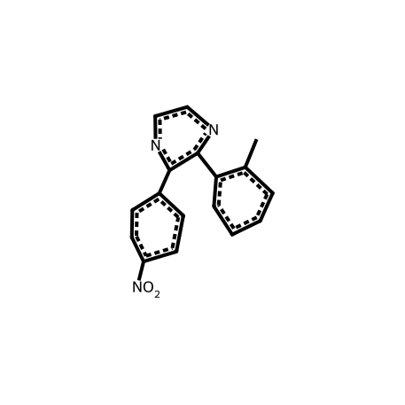 Cc1ccccc1-c1nccnc1-c1ccc([N+](=O)[O-])cc1